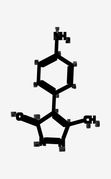 CC1=C(c2ccc(N)cc2)C(=O)N=N1